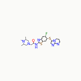 CC1CN(CC(=O)Nc2nc3cc(F)c(Sc4cnc5ncccn45)cc3s2)CC(C)N1C